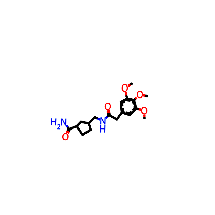 COc1cc(CC(=O)NCC2CCC(C(N)=O)C2)cc(OC)c1OC